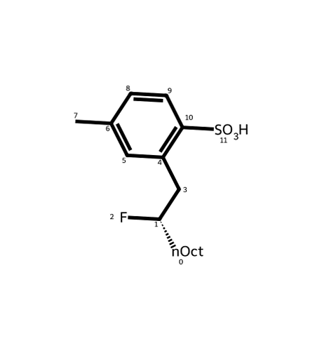 CCCCCCCC[C@H](F)Cc1cc(C)ccc1S(=O)(=O)O